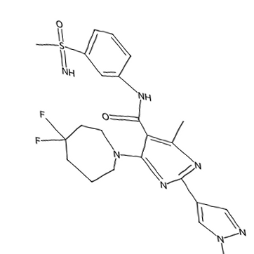 Cc1nc(-c2cnn(C)c2)nc(N2CCCC(F)(F)CC2)c1C(=O)Nc1cccc(S(C)(=N)=O)c1